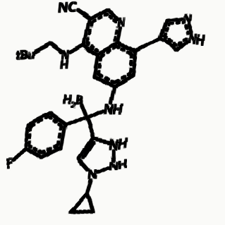 BC(Nc1cc(-c2cn[nH]c2)c2ncc(C#N)c(NCC(C)(C)C)c2c1)(C1=CN(C2CC2)NN1)c1ccc(F)cc1